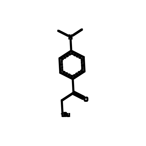 CN(C)c1ccc(C(=O)CC(C)(C)C)cc1